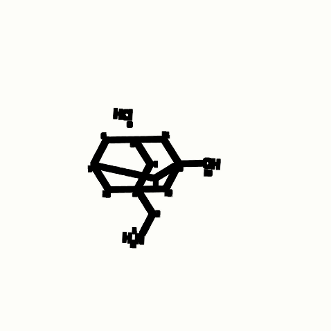 Cl.NCC12CC3CC(CC(O)(C3)C1)C2